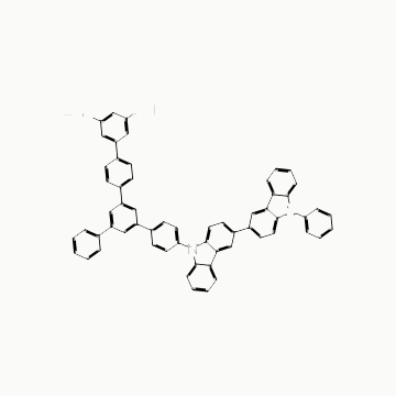 Cc1cc(C)cc(-c2ccc(-c3cc(-c4ccccc4)cc(-c4ccc(-n5c6ccccc6c6cc(-c7ccc8c(c7)c7ccccc7n8-c7ccccc7)ccc65)cc4)c3)cc2)c1